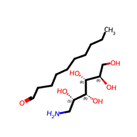 CCCCCCCCCC=O.NC[C@H](O)[C@@H](O)[C@H](O)[C@H](O)CO